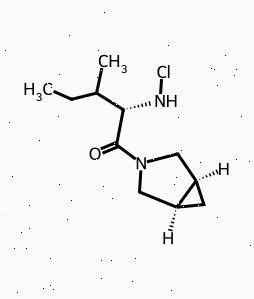 CCC(C)[C@H](NCl)C(=O)N1C[C@H]2C[C@H]2C1